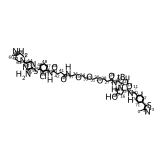 Cc1ncsc1-c1ccc([C@@H](C)NC(=O)[C@H]2C[C@H](O)CN2C(=O)[C@H](NC(=O)CCOCCOCCOCCNC(=O)CCC(=O)Nc2cccc(Sc3ncc(N4CCC(C)(N)CC4)nc3N)c2Cl)C(C)(C)C)cc1